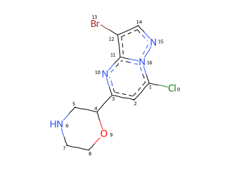 Clc1cc(C2CNCCO2)nc2c(Br)cnn12